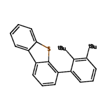 CC(C)(C)c1cccc(-c2cccc3c2sc2ccccc23)c1C(C)(C)C